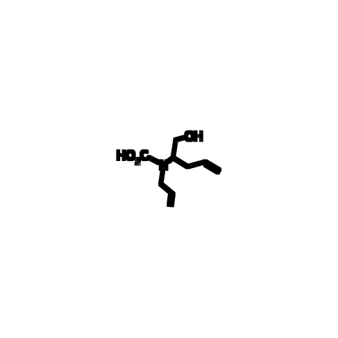 C=CCC(CO)N(CC=C)C(=O)O